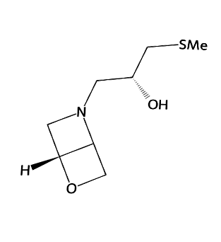 CSC[C@H](O)CN1C[C@H]2OCC21